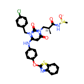 C[C@@H](Cn1c(=O)cc(Nc2ccc(Oc3nc4ccccc4s3)cc2)n(Cc2ccc(Cl)cc2)c1=O)C(=O)N[S+](C)[O-]